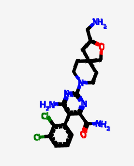 NCC1CC2(CCN(c3nc(N)c(-c4cccc(Cl)c4Cl)c(C(N)=O)n3)CC2)CO1